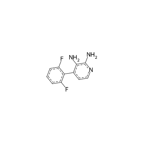 Nc1nccc(-c2c(F)cccc2F)c1N